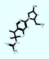 CC(c1cnc(N2CC(O)CC2CO)cc1I)C(C)(C)OC(N)=O